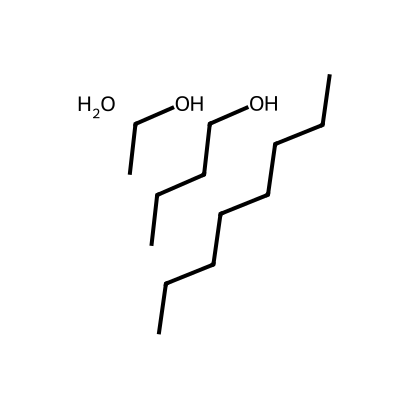 CCCCCCCC.CCCCO.CCO.O